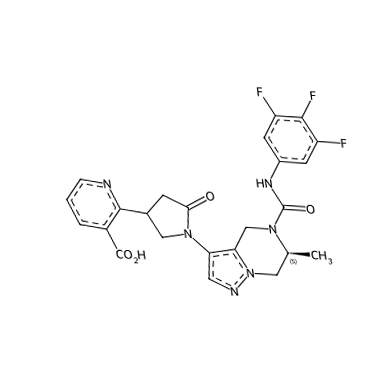 C[C@H]1Cn2ncc(N3CC(c4ncccc4C(=O)O)CC3=O)c2CN1C(=O)Nc1cc(F)c(F)c(F)c1